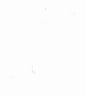 COC(C)OC(=O)c1ccccc1NC=O